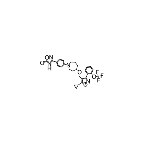 O=c1[nH]c(-c2ccc(N3CCCC(OCc4c(-c5ccccc5OC(F)(F)F)noc4C4CC4)CC3)cc2)no1